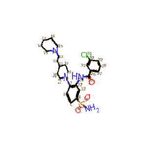 NS(=O)(=O)c1ccc(N2CCC(CCN3CCCCC3)CC2)c(NC(=O)c2cccc(Cl)c2)c1